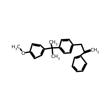 C=C(Cc1ccc(C(C)(C)c2ccc(OC)cc2)cc1)c1ccccc1